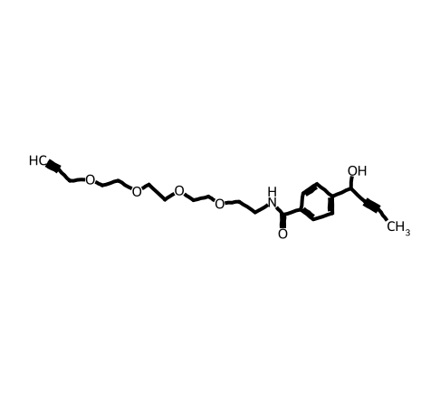 C#CCOCCOCCOCCOCCNC(=O)c1ccc(C(O)C#CC)cc1